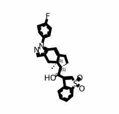 C[C@]12Cc3cnn(-c4ccc(F)cc4)c3C=C1CC[C@@H]2[C@@H](O)C1=CS(=O)(=O)c2ccccc21